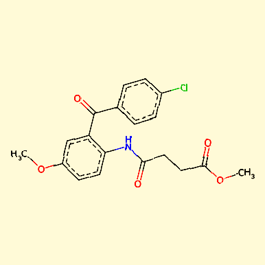 COC(=O)CCC(=O)Nc1ccc(OC)cc1C(=O)c1ccc(Cl)cc1